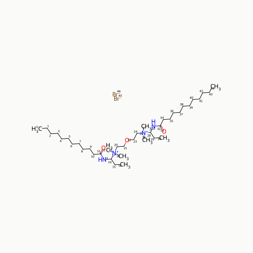 CCCCCCCCCCCC(=O)NC(CC)[N+](C)(C)CCOCC[N+](C)(C)C(CC)NC(=O)CCCCCCCCCCC.[Br-].[Br-]